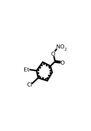 CCc1cc(C(=O)O[N+](=O)[O-])ccc1Cl